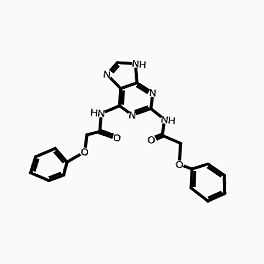 O=C(COc1ccccc1)Nc1nc(NC(=O)COc2ccccc2)c2nc[nH]c2n1